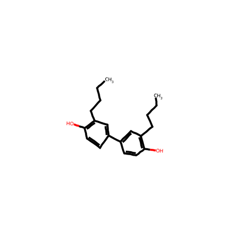 CCCCc1cc(-c2ccc(O)c(CCCC)c2)ccc1O